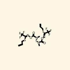 C=CCS/C(=N\OC(=O)N(C)SN(C)C(=O)O/N=C(\SCC=C)C(F)(F)F)C(F)(F)F